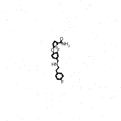 NC(=O)c1ccc(Oc2ccc(CNCCc3ccc(F)cc3)cc2F)s1